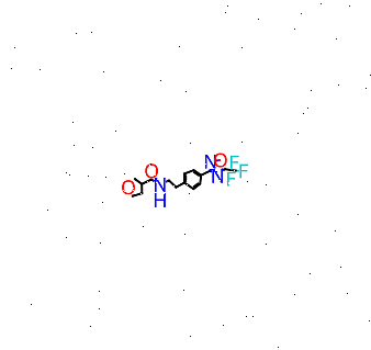 O=C(NCCc1ccc(-c2noc(C(F)(F)F)n2)cc1)C1CCOC1